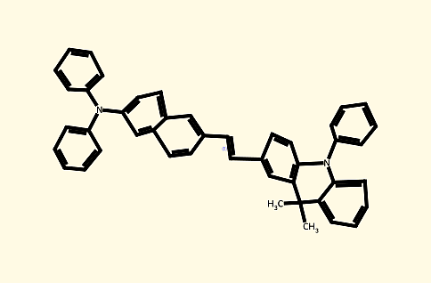 CC1(C)c2ccccc2N(c2ccccc2)c2ccc(/C=C/c3ccc4cc(N(c5ccccc5)c5ccccc5)ccc4c3)cc21